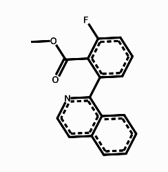 COC(=O)c1c(F)cccc1-c1nccc2ccccc12